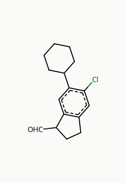 O=CC1CCc2cc(Cl)c(C3CCCCC3)cc21